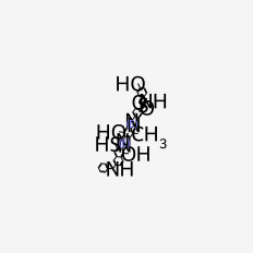 Cc1cc(/N=N/c2c(S)cc3cc(Nc4ccccc4)ccc3c2O)c(O)cc1/N=N/c1ccc(S(=O)(=O)Nc2ccc(O)cc2)cc1